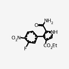 CCOC(=O)c1c[nH]c(C(N)=O)c1-c1ccc([N+](=O)[O-])c(F)c1